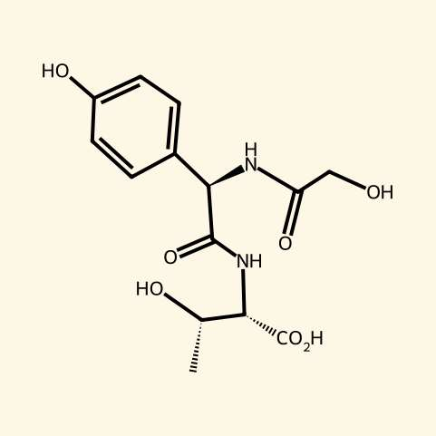 C[C@H](O)[C@H](NC(=O)[C@H](NC(=O)CO)c1ccc(O)cc1)C(=O)O